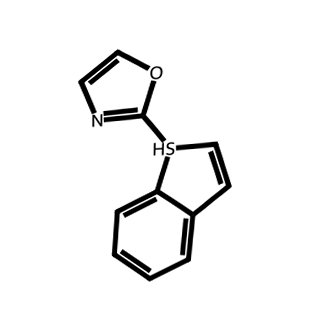 C1=C[SH](c2ncco2)c2ccccc21